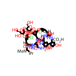 CN[C@H](CC(C)C)C(=O)N[C@H]1C(=O)N[C@@H](CC(N)=O)C(=O)N[C@H]2C(=O)N[C@H]3C(=O)N[C@H](C(=O)N[C@@H](C(=O)O)c4cc(O)cc(O)c4-c4cc3ccc4O)[C@H](O)c3ccc(c(Cl)c3)Oc3cc2cc(c3O[C@@H]2O[C@H](CO)[C@@H](O[C@@H]3O[C@H](CO)[C@@H](O)[C@H](O)[C@H]3O)[C@H](O)[C@H]2O)Oc2ccc(cc2Cl)[C@H]1O